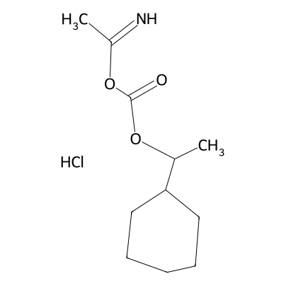 CC(=N)OC(=O)OC(C)C1CCCCC1.Cl